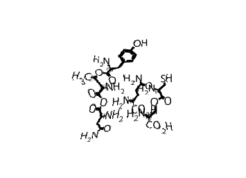 C[C@@H](OC(=O)[C@@H](N)Cc1ccc(O)cc1)[C@H](N)C(=O)OC(=O)[C@@H](N)CC(N)=O.NC(=O)CC[C@H](N)C(=O)O.N[C@@H](COC(=O)[C@@H](N)CS)C(=O)O